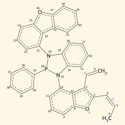 C=Cc1c(/C=C\C)oc2cccc(N3c4ccccc4N(c4cccc5oc6ccccc6c45)P3c3ccccc3)c12